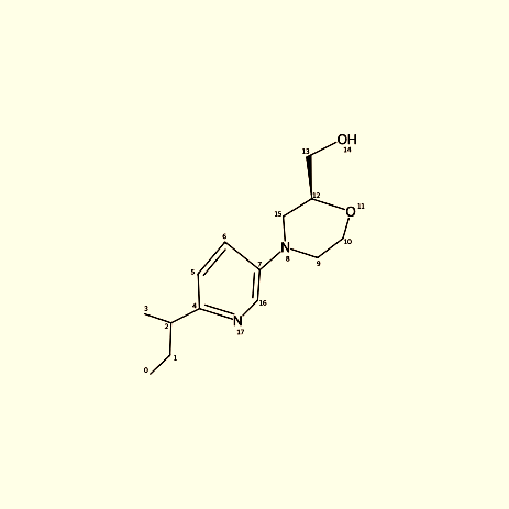 CCC(C)c1ccc(N2CCO[C@H](CO)C2)cn1